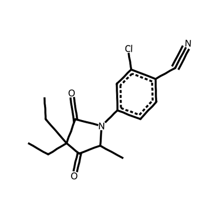 CCC1(CC)C(=O)C(C)N(c2ccc(C#N)c(Cl)c2)C1=O